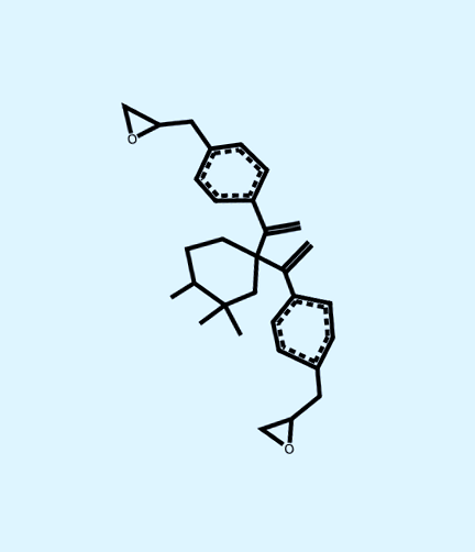 C=C(c1ccc(CC2CO2)cc1)C1(C(=C)c2ccc(CC3CO3)cc2)CCC(C)C(C)(C)C1